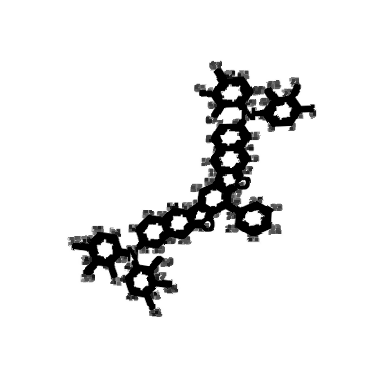 Cc1ccc(N(c2ccc3cc4c(cc3c2)oc2c(-c3ccccc3)c3oc5cc6cc(N(c7ccc(C)c(C)c7C)c7ccc(C)c(C)c7C)ccc6cc5c3cc24)c2ccc(C)c(C)c2C)c(C)c1C